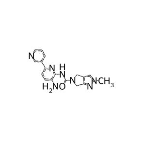 Cn1cc2c(n1)CN(C(=O)Nc1nc(-c3cccnc3)ccc1N)C2